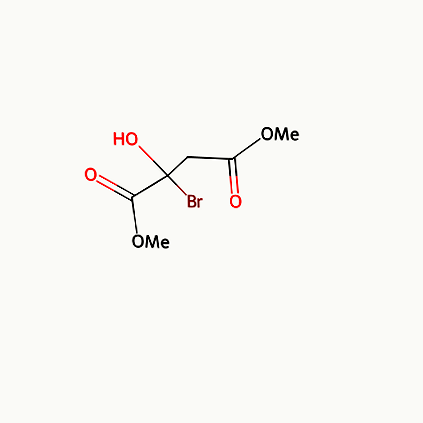 COC(=O)CC(O)(Br)C(=O)OC